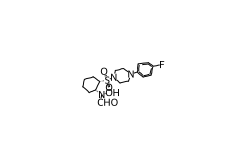 O=CN(O)[C@@H]1CCCC[C@@H]1S(=O)(=O)N1CCN(c2ccc(F)cc2)CC1